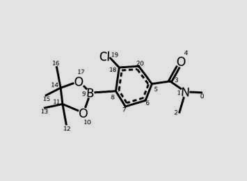 CN(C)C(=O)c1ccc(B2OC(C)(C)C(C)(C)O2)c(Cl)c1